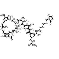 COc1cc2cc(c1Cl)N(C)C(=O)C[C@H](OC(=O)[C@H](C)N(C)C(=O)c1ccc(NC(=O)[C@H](CCCNC(N)=O)NC(=O)[C@@H](NC(=O)CCCCCN3C(=O)C=CC3=O)C(C)C)c(O)c1)[C@@H](C)[C@@H](O)[C@H](C)[C@@H]1C[C@@](O)(NC(=O)O1)[C@H](OC)/C=C/C=C(\C)C2